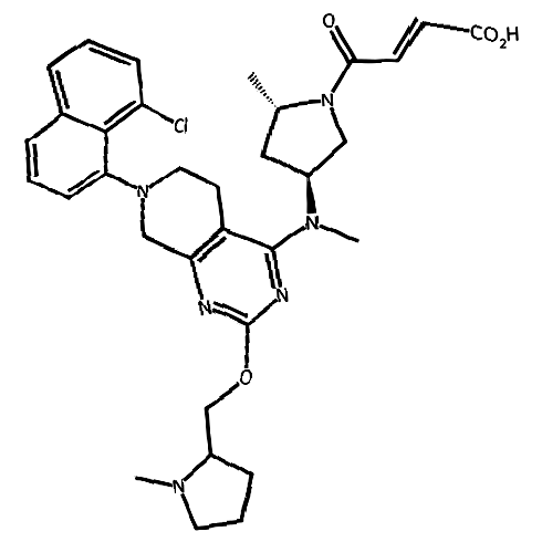 C[C@H]1C[C@H](N(C)c2nc(OCC3CCCN3C)nc3c2CCN(c2cccc4cccc(Cl)c24)C3)CN1C(=O)/C=C/C(=O)O